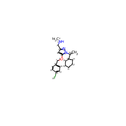 CNCc1cc(OCc2ccc(F)cc2)n(C(C)C2CCCCC2)n1